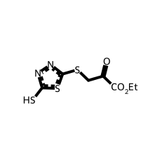 CCOC(=O)C(=O)CSc1nnc(S)s1